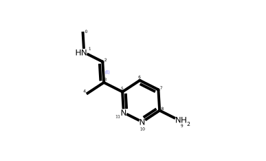 CN/C=C(\C)c1ccc(N)nn1